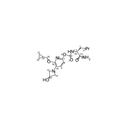 CC(C)C[C@H](NC(=O)Oc1ccc(N2CC(O)C2)c(OCC2CC2)n1)C(N)=O